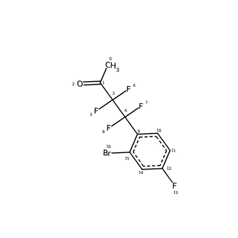 CC(=O)C(F)(F)C(F)(F)c1ccc(F)cc1Br